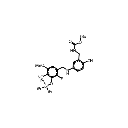 COc1cc(CNc2ccc(C#N)c(CNC(=O)OC(C)(C)C)c2)c(F)c(O[Si](C(C)C)(C(C)C)C(C)C)c1C#N